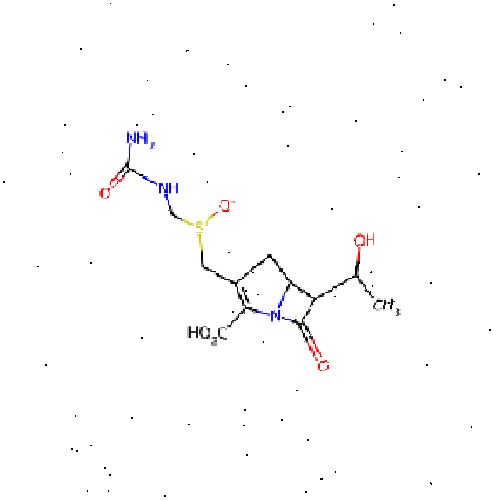 CC(O)C1C(=O)N2C(C(=O)O)=C(C[S+]([O-])CNC(N)=O)CC12